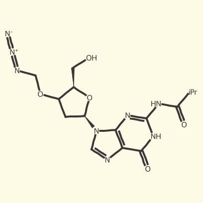 CC(C)C(=O)Nc1nc2c(ncn2[C@H]2CC(OCN=[N+]=[N-])[C@@H](CO)O2)c(=O)[nH]1